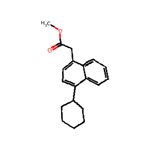 COC(=O)Cc1ccc(C2CCCCC2)c2ccccc12